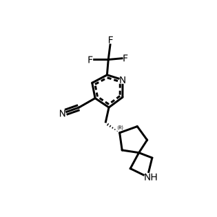 N#Cc1cc(C(F)(F)F)ncc1C[C@@H]1CCC2(CNC2)C1